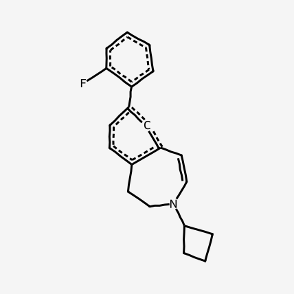 Fc1ccccc1-c1ccc2c(c1)C=CN(C1CCC1)CC2